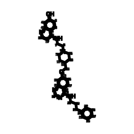 Oc1ccc2c(NCCN3CCC(COc4ccc5c(NCCCc6ccccc6)ncnc5c4)CC3)ccnc2c1